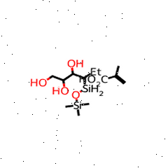 C=C(C)C(=O)O.CCC([SiH2]O[Si](C)(C)C)C(O)C(O)CO